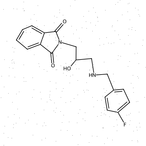 O=C1c2ccccc2C(=O)N1CC(O)CNCc1ccc(F)cc1